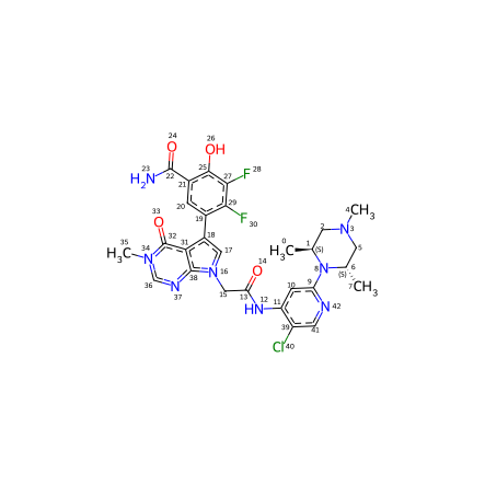 C[C@H]1CN(C)C[C@H](C)N1c1cc(NC(=O)Cn2cc(-c3cc(C(N)=O)c(O)c(F)c3F)c3c(=O)n(C)cnc32)c(Cl)cn1